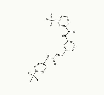 O=C(/C=C/c1cccc(NC(=O)c2cccc(C(F)(F)F)c2)c1)Nc1ccc(C(F)(F)F)nc1